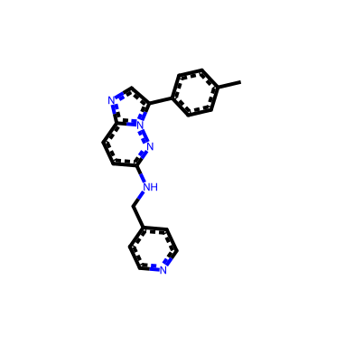 Cc1ccc(-c2cnc3ccc(NCc4ccncc4)nn23)cc1